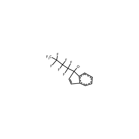 [O]C1(C(F)(F)C(F)(F)C(F)(F)C(F)(F)F)C=Cc2ccccc21